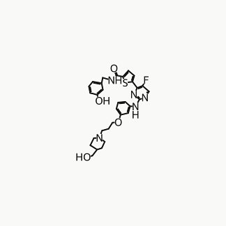 O=C(NCc1cccc(O)c1)c1ccc(-c2nc(Nc3cccc(OCCCN4CCC(CO)CC4)c3)ncc2F)s1